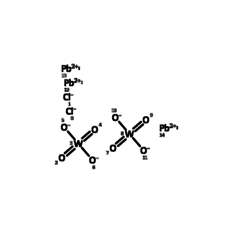 [Cl-].[Cl-].[O]=[W](=[O])([O-])[O-].[O]=[W](=[O])([O-])[O-].[Pb+2].[Pb+2].[Pb+2]